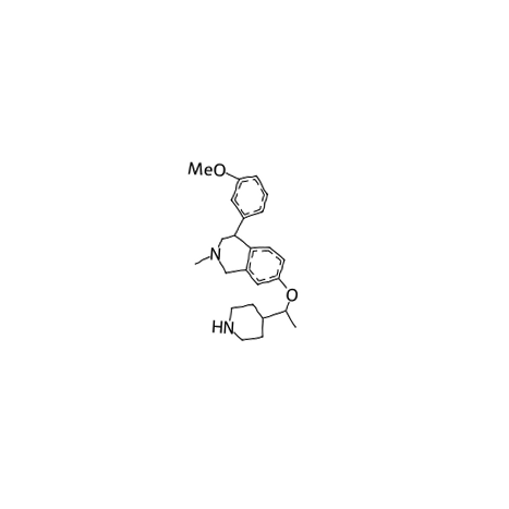 COc1cccc(C2CN(C)Cc3cc(OC(C)C4CCNCC4)ccc32)c1